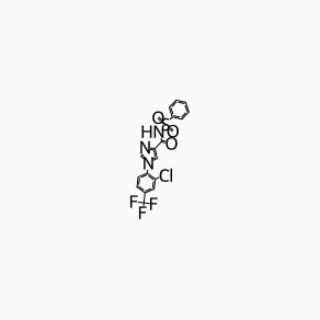 O=C(NS(=O)(=O)c1ccccc1)c1cn(-c2ccc(C(F)(F)F)cc2Cl)cn1